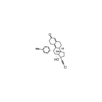 C#Cc1ccc([C@H]2C[C@@]3(C)[C@@H](CC[C@@]3(O)C#CCl)[C@@H]3CCC4=CC(=O)CCC4=C32)cc1